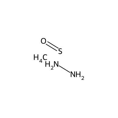 C.NN.O=S